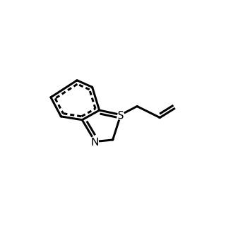 C=CCS1=c2ccccc2=NC1